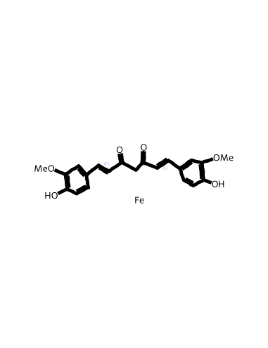 COc1cc(/C=C/C(=O)CC(=O)/C=C/c2ccc(O)c(OC)c2)ccc1O.[Fe]